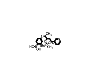 C[C@H](Oc1ccc(B(O)O)cc1)C(CCc1cccnc1)O[Si](C)(C)C(C)(C)C